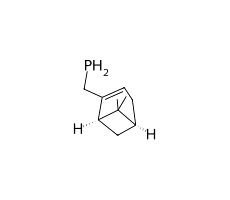 CC1(C)[C@H]2CC=C(CP)[C@@H]1C2